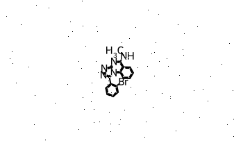 CNc1nc2nnc(-c3ccccc3Br)n2c2ccccc12